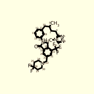 CC(CCc1nncn1C)Cc1cccc(N2Cc3c(cc(CN4CCC(F)(F)CC4)cc3C(F)(F)F)C2=O)c1